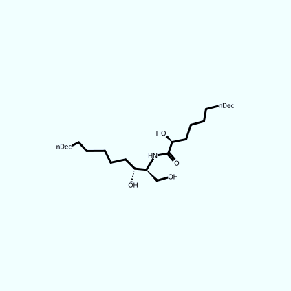 CCCCCCCCCCCCCCC[C@@H](O)[C@H](CO)NC(=O)[C@@H](O)CCCCCCCCCCCCCC